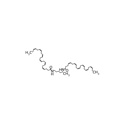 CC/C=C\C/C=C\C/C=C\C/C=C\C/C=C\C/C=C\CCC(=O)NCCCC[C@@H](C)NC(=O)CC/C=C\C/C=C\C/C=C\C/C=C\C/C=C\C/C=C\CC